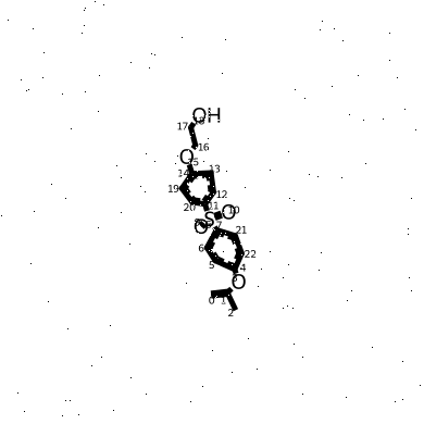 C=C(C)Oc1ccc(S(=O)(=O)c2ccc(OCCO)cc2)cc1